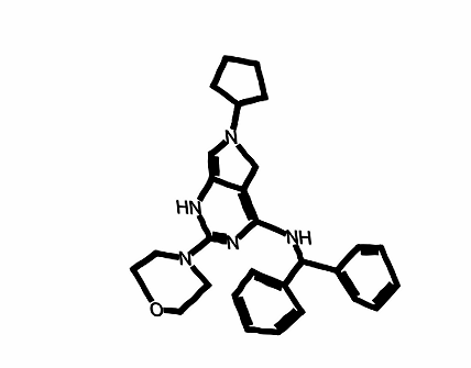 C1=C2NC(N3CCOCC3)=NC(NC(c3ccccc3)c3ccccc3)=C2CN1C1CCCC1